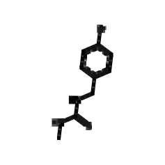 CNC(=S)NCc1ccc(Br)cc1